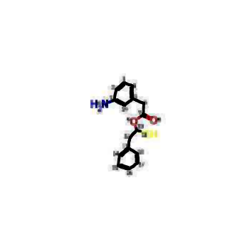 Nc1cccc(CC(=O)OC(S)Cc2ccccc2)c1